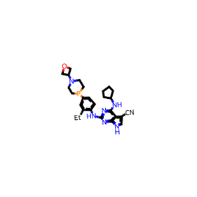 CCc1cc(P2CCN(C3COC3)CC2)ccc1Nc1nc(NC2CCCC2)c2c(C#N)c[nH]c2n1